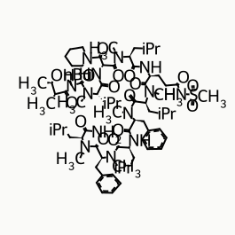 CCCCN(C(=O)[C@@H](C)[C@@H](C)O)C(=O)N(C)[C@H](C(=O)N[C@H](C(=O)N1CCCCC1)C(=O)N(C)[C@@H](CC(C)C)C(=O)N[C@@H](CCC(=O)NS(C)(=O)=O)C(=O)N(C)[C@@H](CC(C)C)C(=O)N(C)[C@@H](Cc1ccccc1)C(=O)N[C@@H](CC(C)C)C(=O)N(C)[C@@H](Cc1ccccc1)C(=O)N(C)[C@@H](CC(C)C)C(N)=O)C(C)C